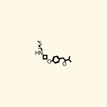 CSSCN[C@H]1C[C@@H](Oc2ccc(CC(=O)C(C)C)cc2)C1